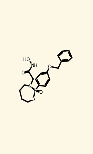 O=C(CN1CCCCOP1(=O)c1ccc(OCc2ccccc2)cc1)NO